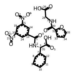 O=C(N[C@H](C(=O)O)c1ccccc1)c1cc([N+](=O)[O-])cc([N+](=O)[O-])c1.O=C(O)CNC(=O)c1ccco1